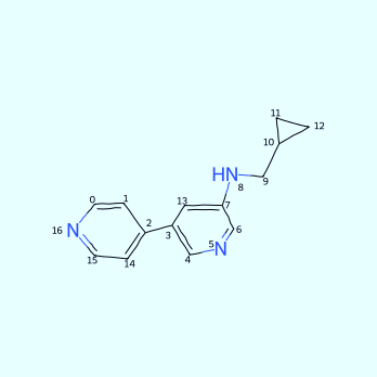 c1cc(-c2cncc(NCC3CC3)c2)ccn1